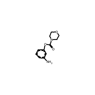 Nc1cccc(OC(=O)N2CCOCC2)c1